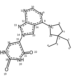 CCC1(CC)CCN(c2ncnc3nn(-c4c[nH]c(=O)[nH]c4=O)cc23)C1